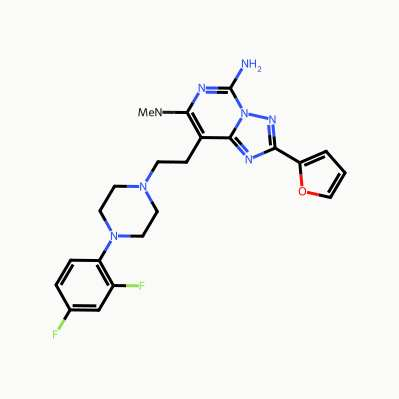 CNc1nc(N)n2nc(-c3ccco3)nc2c1CCN1CCN(c2ccc(F)cc2F)CC1